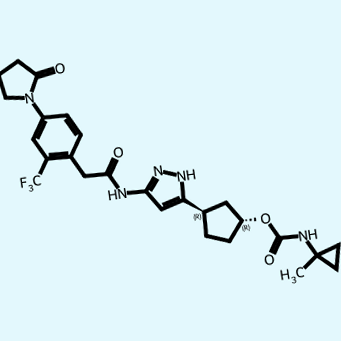 CC1(NC(=O)O[C@@H]2CC[C@@H](c3cc(NC(=O)Cc4ccc(N5CCCC5=O)cc4C(F)(F)F)n[nH]3)C2)CC1